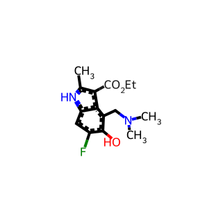 CCOC(=O)c1c(C)[nH]c2cc(F)c(O)c(CN(C)C)c12